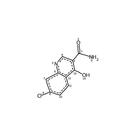 NC(=O)c1cnc2cc(Cl)ccc2c1O